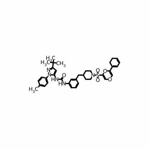 Cc1ccc(-n2nc(C(C)(C)C)cc2NC(=O)Nc2cccc(CC3CCN(S(=O)(=O)C4=COC=C(C5=CC=CCC5)O4)CC3)c2)cc1